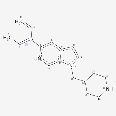 C=C/C(=C\C)c1cc2ccn(CC3CCNCC3)c2cn1